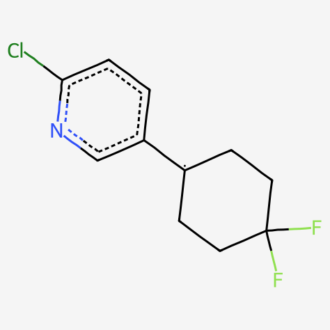 FC1(F)CC[C](c2ccc(Cl)nc2)CC1